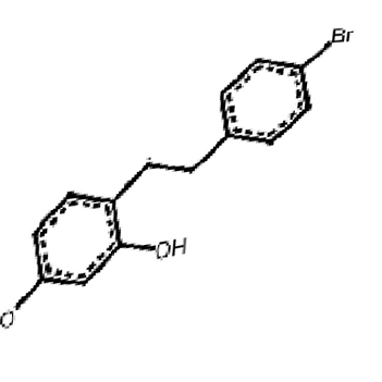 Oc1ccc([CH]Cc2ccc(Br)cc2)c(O)c1